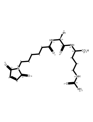 CC(C)[C@H](NC(=O)CCCCCN1C(=O)C=CC1=O)C(=O)NC(CCCNC(N)=O)C(=O)O